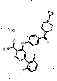 Cl.NC(=O)c1nnc(-c2c(F)cccc2Cl)cc1Nc1ccc(C(=O)N2CCN(C3CC3)CC2)cc1